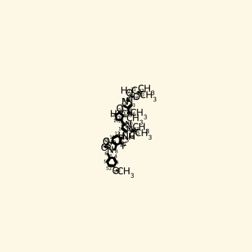 COc1ccc(CN2Cc3c(ccc(Nc4cc(C5CCC(Oc6nn(C(=O)OC(C)(C)C)cc6C(C)(C)C)C5)nn4C(C)(C)C)c3F)S2(=O)=O)cc1